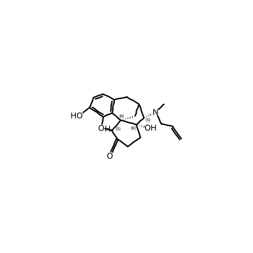 C=CCN(C)[C@H]1C2Cc3ccc(O)c4c3[C@]3(C2)[C@H](O4)C(=O)CC[C@]13O